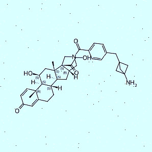 C[C@]12C=CC(=O)C=C1CC[C@@H]1[C@@H]2[C@@H](O)C[C@@]2(C)[C@H]1C[C@H]1CN(C(=O)c3ccc(CC45CC(N)(C4)C5)cc3)C[C@]12C(=O)CO